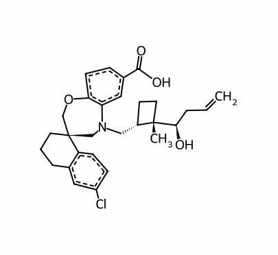 C=CC[C@@H](O)[C@@]1(C)CC[C@H]1CN1C[C@@]2(CCCc3cc(Cl)ccc32)COc2ccc(C(=O)O)cc21